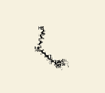 C[Si](C)(C)O[Si](C)(C)COC(=O)NCCCCCCNC(=O)SCCOCCOCCS